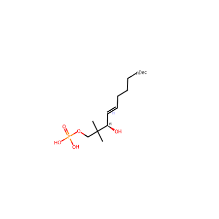 CCCCCCCCCCCCC/C=C/[C@@H](O)C(C)(C)COP(=O)(O)O